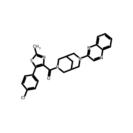 Cc1nc(C(=O)N2CC3CC(C2)CN(c2cnc4ccccc4n2)C3)c(-c2ccc(Cl)cc2)s1